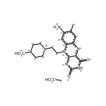 CC(=O)O.Cc1cc2nc3c(=O)[nH]c(=O)nc-3n(CCN3CCC(C(=O)O)CC3)c2cc1N